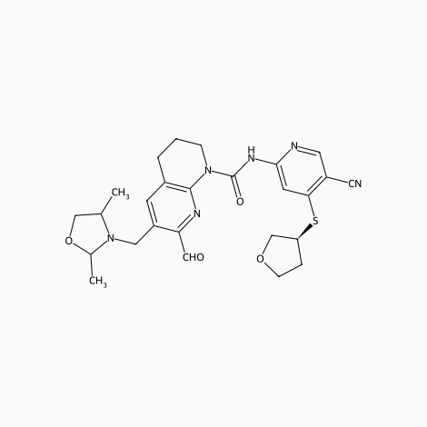 CC1COC(C)N1Cc1cc2c(nc1C=O)N(C(=O)Nc1cc(S[C@H]3CCOC3)c(C#N)cn1)CCC2